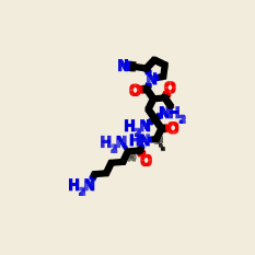 CC(=O)C(CC(N)(N)C(=O)[C@H](C)NC(=O)[C@@H](N)CCCCN)C(=O)N1CCCC1C#N